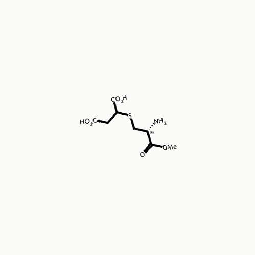 COC(=O)[C@@H](N)CSC(CC(=O)O)C(=O)O